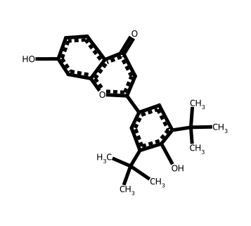 CC(C)(C)c1cc(-c2cc(=O)c3ccc(O)cc3o2)cc(C(C)(C)C)c1O